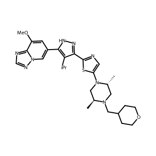 COc1cc(-c2[nH]nc(-c3ncc(N4C[C@H](C)N(CC5CCOCC5)C[C@H]4C)s3)c2C(C)C)cn2ncnc12